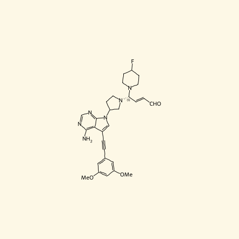 COc1cc(C#Cc2cn(C3CCN([C@@H](C=CC=O)N4CCC(F)CC4)C3)c3ncnc(N)c23)cc(OC)c1